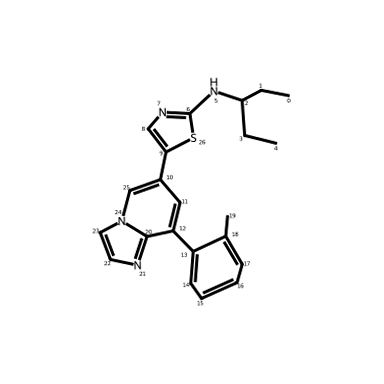 CCC(CC)Nc1ncc(-c2cc(-c3ccccc3C)c3nccn3c2)s1